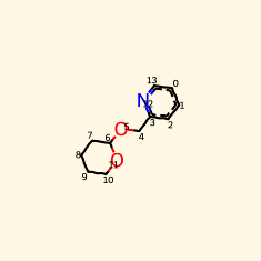 c1ccc(COC2CCCCO2)nc1